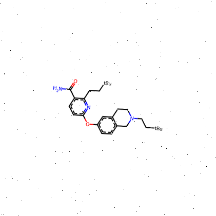 CC(C)(C)CCc1nc(Oc2ccc3c(c2)CCN(CCC(C)(C)C)C3)ccc1C(N)=O